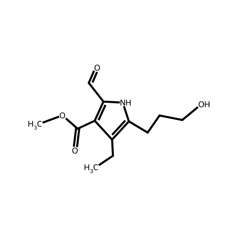 CCc1c(CCCO)[nH]c(C=O)c1C(=O)OC